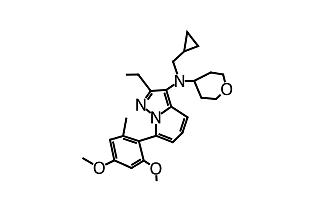 CCc1nn2c(-c3c(C)cc(OC)cc3OC)cccc2c1N(CC1CC1)C1CCOCC1